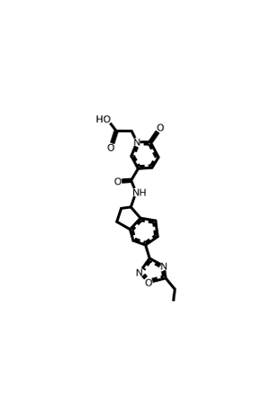 CCc1nc(-c2ccc3c(c2)CCC3NC(=O)c2ccc(=O)n(CC(=O)O)c2)no1